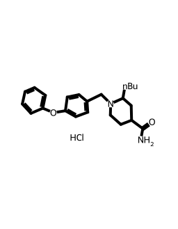 CCCCC1CC(C(N)=O)CCN1Cc1ccc(Oc2ccccc2)cc1.Cl